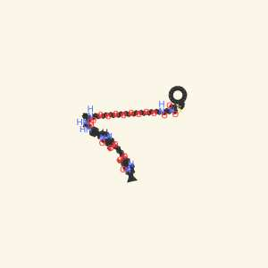 COc1cc2c(cc1OCCCCCOc1cc3c(cc1OC)C(=O)N1C=C(c4ccc(NC(=O)[C@@H](C)NC(=O)[C@H](NC(=O)CCOCCOCCOCCOCCOCCOCCOCCOCCNC(=O)CCN5C(=O)CC(SC(C)(C)CC6CCCCCCCCCCCCCC6)C5=O)C(C)C)cc4)C[C@@H]1C=N3)N=CC1CC(C3CC3)=CN1C2=O